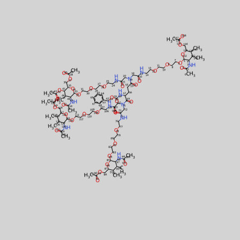 CC(=O)NC1C(OCCOCCOCCNC(=O)CN(CC(=O)NCCOCCOCCOC2OC(COC(C)=O)C(OC(C)=O)C(C)C2NC(C)=O)C(=O)CCC(NC(=O)OCc2ccccc2)C(=O)N(CC(=O)NCCOCCOCCOC2OC(COC(C)=O)C(C)C(C)C2NC(C)=O)CC(=O)NCCOCCOCCOC2OC(COC(C)=O)C(C)C(C)C2NC(C)=O)OC(COC(C)=O)C(C)C1C